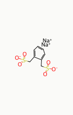 O=S(=O)([O-])Cc1ccccc1CS(=O)(=O)[O-].[Na+].[Na+]